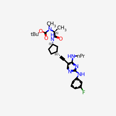 CCCNc1nc(Nc2cccc(F)c2)ncc1C#C[C@@H]1CC[C@H](NC(=O)[C@H](C)N(C)C(=O)OC(C)(C)C)C1